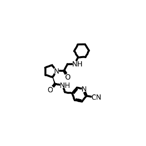 N#Cc1ccc(CNC(=O)[C@H]2CCCN2C(=O)CNC2CCCCC2)cn1